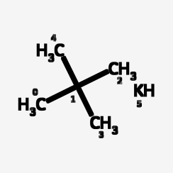 CC(C)(C)C.[KH]